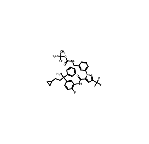 CC(C)(C)OC(=O)NCc1cccc(-n2nc(C(F)(F)F)cc2C(=O)Nc2cc(C(N)(CCC3CC3)c3ccccc3)ccc2F)c1